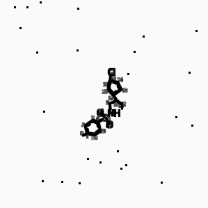 Cc1ccc(S(=O)(=O)NCC(F)c2ccc(Cl)cc2)cc1